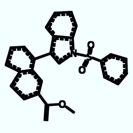 C=C(OC)c1ccc2cccc(-c3cn(S(=O)(=O)c4ccccc4)c4ccccc34)c2c1